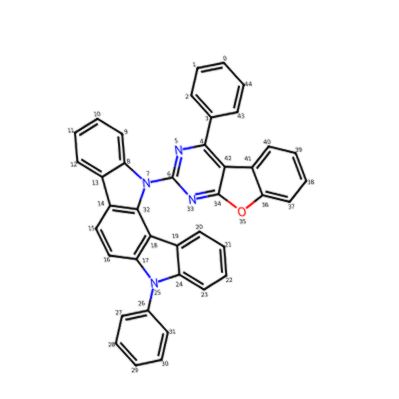 c1ccc(-c2nc(-n3c4ccccc4c4ccc5c(c6ccccc6n5-c5ccccc5)c43)nc3oc4ccccc4c23)cc1